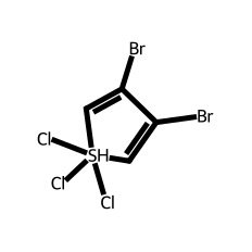 Cl[SH]1(Cl)(Cl)C=C(Br)C(Br)=C1